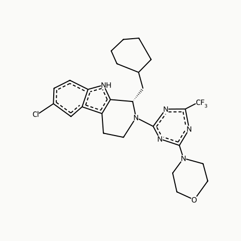 FC(F)(F)c1nc(N2CCOCC2)nc(N2CCc3c([nH]c4ccc(Cl)cc34)[C@@H]2CC2CCCCC2)n1